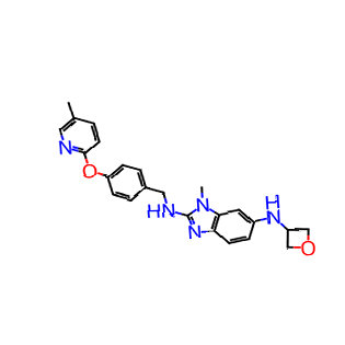 Cc1ccc(Oc2ccc(CNc3nc4ccc(NC5COC5)cc4n3C)cc2)nc1